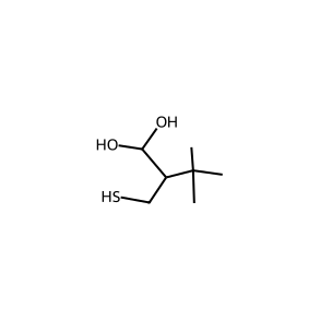 CC(C)(C)C(CS)C(O)O